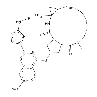 COc1ccc2c(OC3CC4C(=O)NC5(C(=O)O)CC5C=CCCCCN(C)C(=O)C4C3)nc(-c3csc(NC(C)C)n3)cc2c1